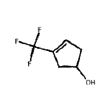 OC1CC=C(C(F)(F)F)C1